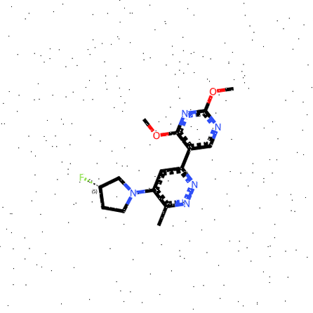 COc1ncc(-c2cc(N3CC[C@H](F)C3)c(C)nn2)c(OC)n1